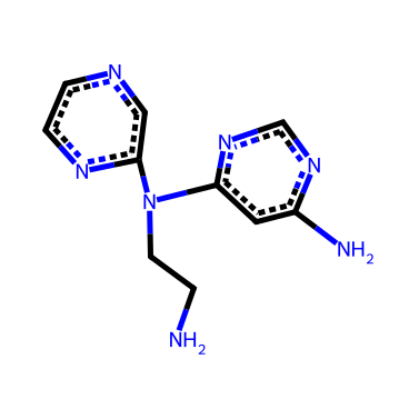 NCCN(c1cnccn1)c1cc(N)ncn1